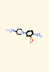 COc1cc(N2CCC(N)CC2)ccc1N